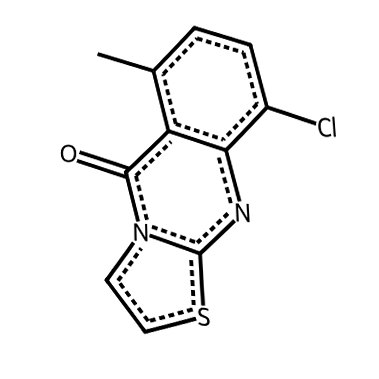 Cc1ccc(Cl)c2nc3sccn3c(=O)c12